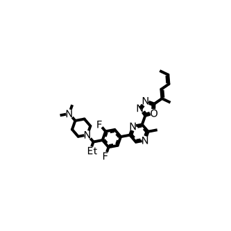 C/C=C\C=C(/C)c1nnc(-c2nc(-c3cc(F)c(C(CC)N4CCC(N(C)C)CC4)c(F)c3)cnc2C)o1